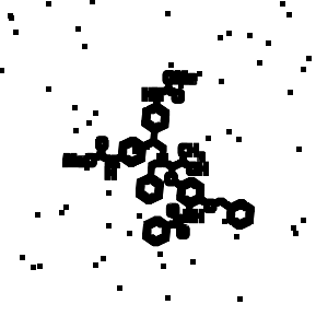 COC(=O)Nc1ccc(C(CN(Cc2ccccc2)C(Oc2ccc(OCc3ccccc3)c(NS(=O)(=O)c3ccccc3)c2)C(C)O)c2ccc(NC(=O)OC)cc2)cc1